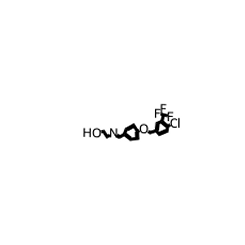 OCCN=Cc1ccc(OCc2ccc(Cl)c(C(F)(F)F)c2)cc1